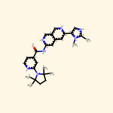 BC1(B)CCC(B)(B)N1c1cc(C(=O)Nc2cc3cc(-c4cnc(C)n4C)ncc3cn2)ccn1